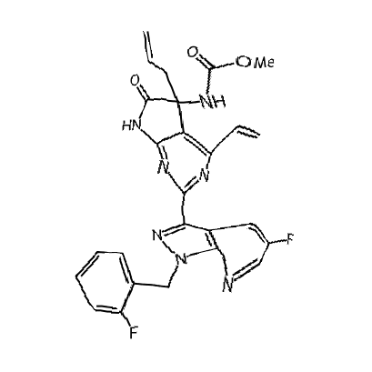 C=CCC1(NC(=O)OC)C(=O)Nc2nc(-c3nn(Cc4ccccc4F)c4ncc(F)cc34)nc(C=C)c21